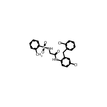 Cc1ccccc1S(=O)(=O)NCC(=O)Nc1ccc(Cl)cc1Cc1ccccc1Cl